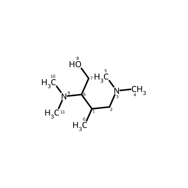 CC(CN(C)C)C(CO)N(C)C